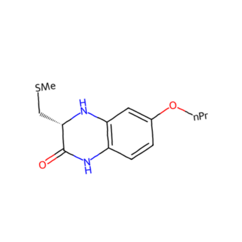 CCCOc1ccc2c(c1)N[C@@H](CSC)C(=O)N2